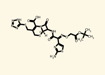 CC(C)(C)OC(=O)CON=C(C(=O)NC1C(=O)N2C(C(=O)O)=C(CSc3nnn[nH]3)CS[C@@H]12)c1csc(N)n1